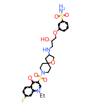 CCn1cc(S(=O)(=O)N2CCC3(CC2)C[C@@H](NC[C@H](O)COc2cccc(S(N)(=O)=O)c2)CO3)c(=O)c2ccc(F)cc21